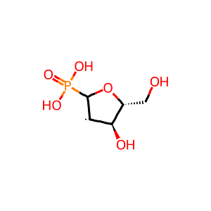 O=P(O)(O)C1[CH][C@H](O)[C@@H](CO)O1